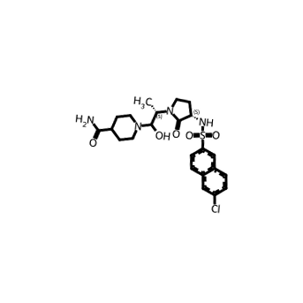 C[C@@H](C(O)N1CCC(C(N)=O)CC1)N1CC[C@H](NS(=O)(=O)c2ccc3cc(Cl)ccc3c2)C1=O